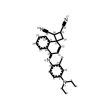 CCN(CC)c1ccc(N=C2C=CC3(CC(C#N)C3C#N)c3ccccc32)c(C)c1